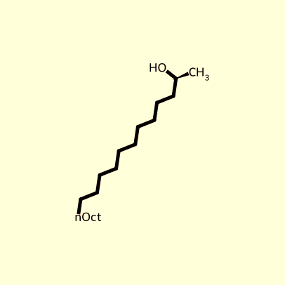 CCCCCCCCCCCCCCCCCC[C@H](C)O